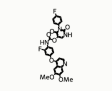 COc1cc2nccc(Oc3ccc(NC(=O)Oc4c[nH]c(=O)n(-c5ccc(F)cc5)c4=O)c(F)c3)c2cc1OC